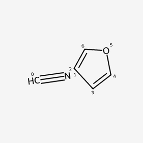 C#N.c1ccoc1